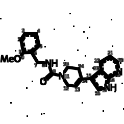 COc1ccccc1CNC(=O)N1CC=C(c2c[nH]c3ncccc23)CC1